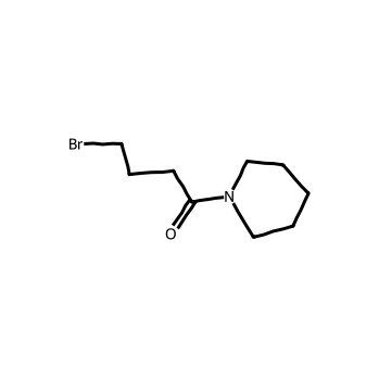 O=C(CCCBr)N1CCCCC1